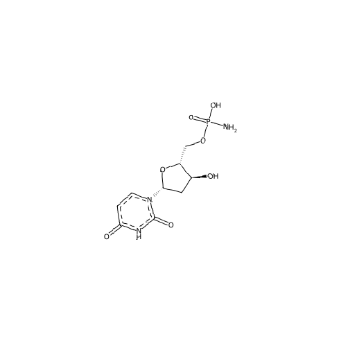 NP(=O)(O)OC[C@H]1O[C@@H](n2ccc(=O)[nH]c2=O)C[C@@H]1O